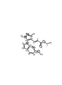 CCOC(=O)/C=C/c1c(C)nn(C)c1-n1ccc2ccc(OC)nc21